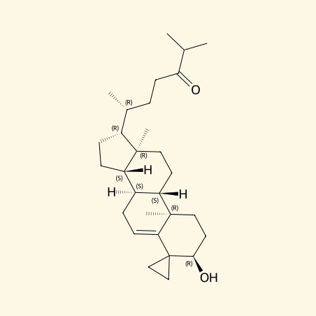 CC(C)C(=O)CC[C@@H](C)[C@H]1CC[C@H]2[C@@H]3CC=C4C5(CC5)[C@H](O)CC[C@]4(C)[C@H]3CC[C@]12C